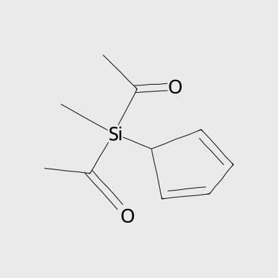 CC(=O)[Si](C)(C(C)=O)C1C=CC=C1